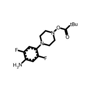 CC(C)(C)C(=O)ON1CCN(c2cc(F)c(N)cc2F)CC1